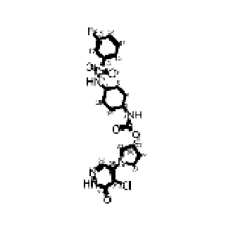 O=C(NC1CCC(NS(=O)(=O)c2cccc(F)c2)CC1)O[C@@H]1CCN(c2cn[nH]c(=O)c2Cl)C1